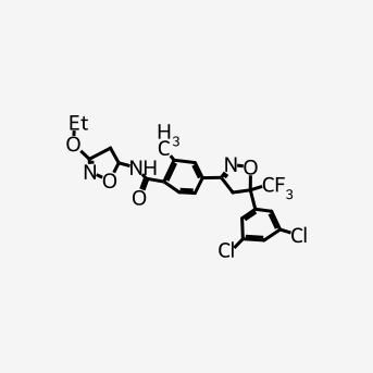 CCOC1=NOC(NC(=O)c2ccc(C3=NOC(c4cc(Cl)cc(Cl)c4)(C(F)(F)F)C3)cc2C)C1